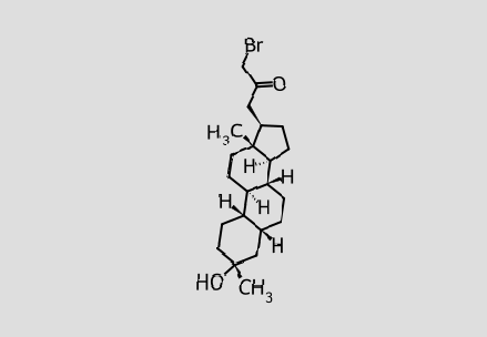 C[C@@]1(O)CC[C@H]2[C@H](CC[C@@H]3[C@@H]2CC[C@]2(C)[C@@H](CC(=O)CBr)CC[C@@H]32)C1